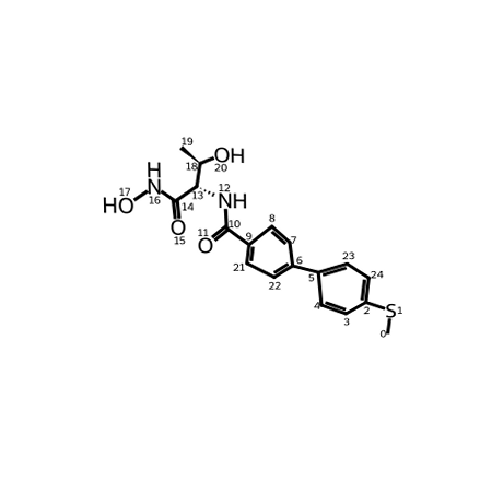 CSc1ccc(-c2ccc(C(=O)N[C@H](C(=O)NO)[C@@H](C)O)cc2)cc1